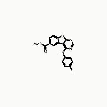 COC(=O)c1ccc2oc3ncnc(Nc4ccc(I)cc4)c3c2c1